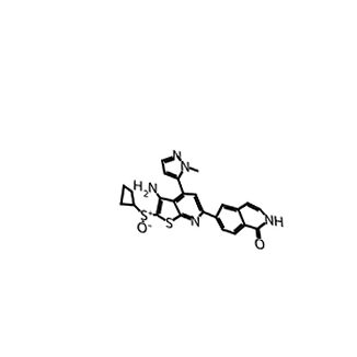 Cn1nccc1-c1cc(-c2ccc3c(=O)[nH]ccc3c2)nc2sc([S+]([O-])C3CCC3)c(N)c12